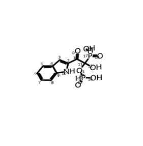 O=C(c1cc2ccccc2[nH]1)C(O)(O[PH](=O)O)[PH](=O)O